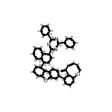 C=C1/C=C\C=C/Oc2cccc(-c3ccc4c(c3)oc3cccc(-c5ccc(-c6nc(-c7ccccc7)nc(-c7ccccc7)n6)c6ccccc56)c34)c21